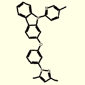 Cc1ccc(-n2c3ccccc3c3ccc(Oc4cccc(-n5nc(C)cc5C)c4)cc32)nc1